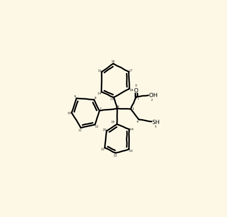 O=C(O)C(CS)C(c1ccccc1)(c1ccccc1)c1ccccc1